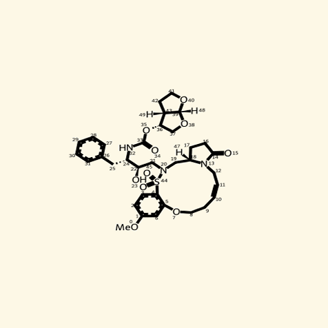 COc1ccc2c(c1)OCC/C=C\CN1C(=O)CC[C@H]1CN(C[C@@H](O)[C@H](Cc1ccccc1)NC(=O)O[C@H]1CO[C@H]3OCC[C@H]31)S2(=O)=O